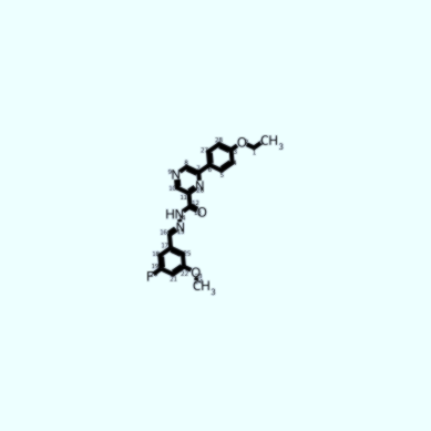 CCOc1ccc(-c2cncc(C(=O)N/N=C/c3cc(F)cc(OC)c3)n2)cc1